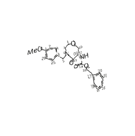 COc1ccc(CN2CCOC[C@H](NC(=O)OCc3ccccc3)C2=O)cc1